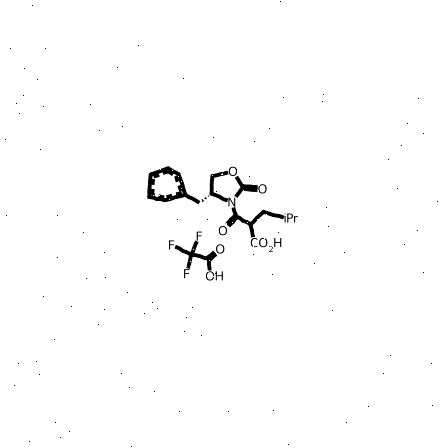 CC(C)CC(C(=O)O)C(=O)N1C(=O)OC[C@H]1Cc1ccccc1.O=C(O)C(F)(F)F